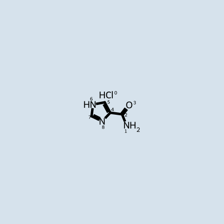 Cl.NC(=O)c1c[nH]cn1